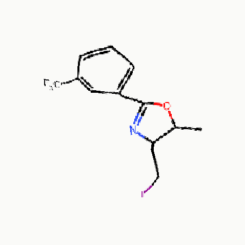 CC1OC(c2cccc(C(F)(F)F)c2)=NC1CI